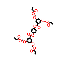 C=CC(=O)OCOc1cc(OCOC(=O)C=C)cc(C(=O)Oc2ccc(OC(=O)c3cc(OCOC(=O)C=C)cc(OCOC(=O)C=C)c3)cc2)c1